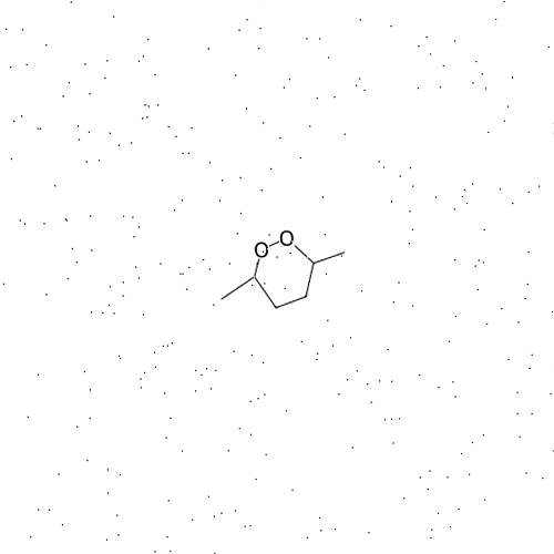 CC1CCC(C)OO1